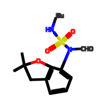 CCC(C)NS(=O)(=O)N(C=O)c1cccc2c1OC(C)(C)C2